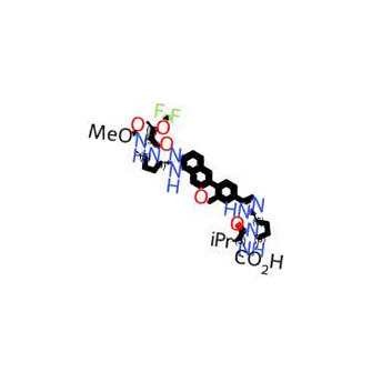 COC(=O)N[C@H](C(=O)N1[C@@H](C)CC[C@H]1c1nc2ccc3cc4c(cc3c2[nH]1)OCc1cc(-c2cnc([C@@H]3CC[C@H](C)N3C(=O)[C@@H](NC(=O)O)C(C)C)[nH]2)ccc1-4)[C@@H](C)OC(F)F